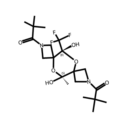 CC(C)(C)C(=O)N1CC2(C1)O[C@](C)(O)C1(CN(C(=O)C(C)(C)C)C1)O[C@@]2(O)C(F)(F)F